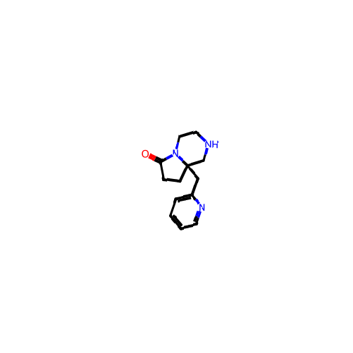 O=C1CCC2(Cc3ccccn3)CNCCN12